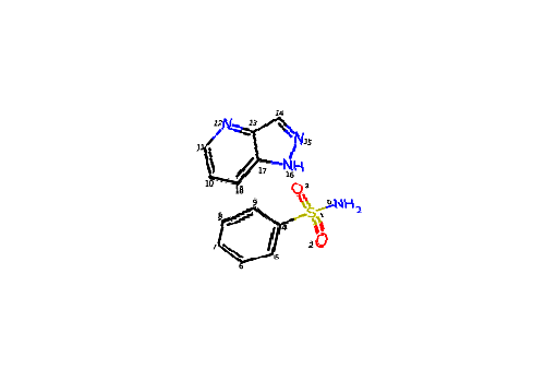 NS(=O)(=O)c1ccccc1.c1cnc2cn[nH]c2c1